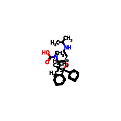 CC(C)NCC[C@@H](CN(C)C(=O)O)O[Si](c1ccccc1)(c1ccccc1)C(C)(C)C